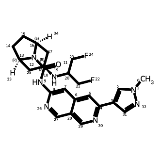 Cn1cc(-c2cc3cc(NC(=O)N4[C@@H]5CC[C@H]4C[C@@H](NC(CF)CF)C5)ncc3cn2)cn1